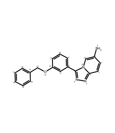 Bc1ccc2nnc(-c3cccc(OCc4ccccc4)c3)n2c1